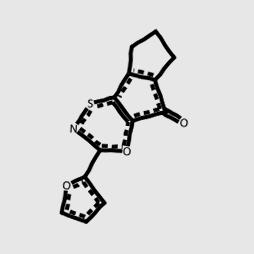 O=c1c2c(c3snc(-c4ccco4)oc1=3)CCC2